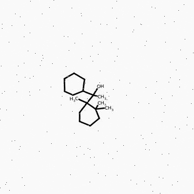 CC1(C)CCCCC1(C)C(C)(O)C1CCCCC1